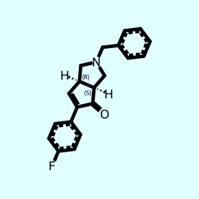 O=C1C(c2ccc(F)cc2)=C[C@H]2CN(Cc3ccccc3)C[C@@H]12